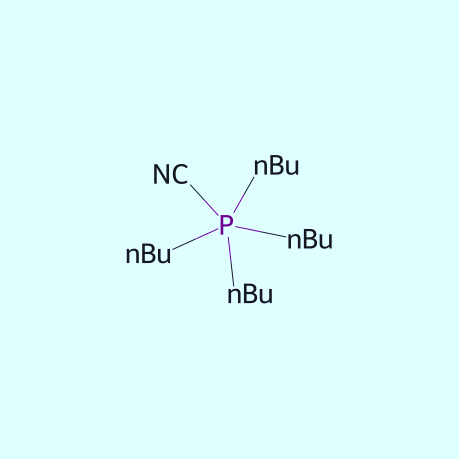 CCCCP(C#N)(CCCC)(CCCC)CCCC